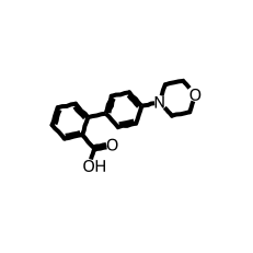 O=C(O)c1ccccc1-c1ccc(N2CCOCC2)cc1